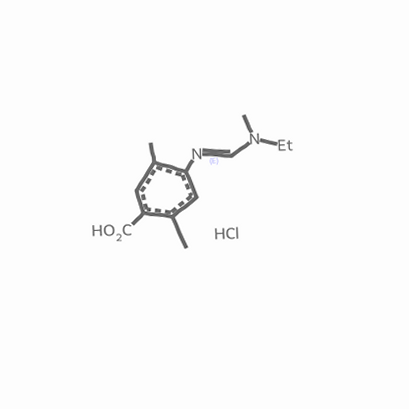 CCN(C)/C=N/c1cc(C)c(C(=O)O)cc1C.Cl